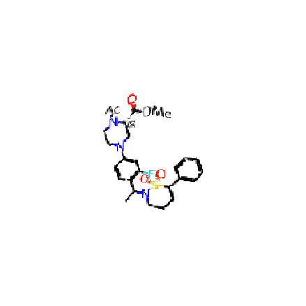 COC(=O)[C@@H]1CN(c2ccc(C(C)N3CCCC(c4ccccc4)S3(=O)=O)c(F)c2)CCN1C(C)=O